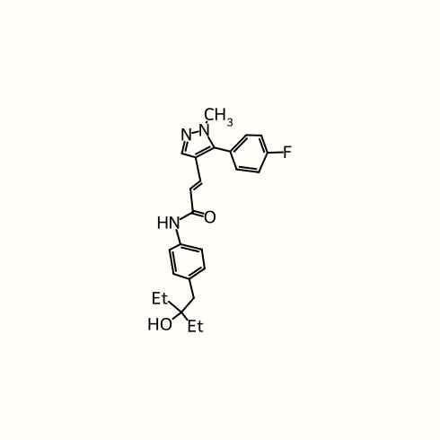 CCC(O)(CC)Cc1ccc(NC(=O)C=Cc2cnn(C)c2-c2ccc(F)cc2)cc1